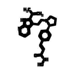 C=C(C)c1[nH]c2ncccc2c1CCN1CCC[C@H]1c1ccc(/C=C/C(=O)NO)cc1